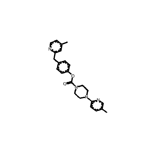 Cc1ccc(N2CCN(C(=O)Oc3ccc(Cc4cc(C)ccn4)cc3)CC2)nc1